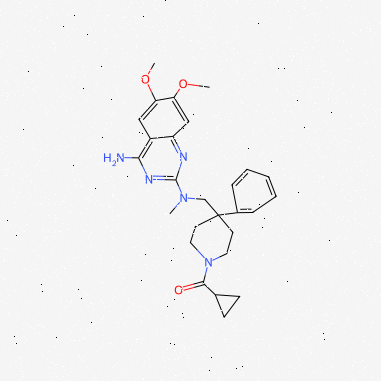 COc1cc2nc(N(C)CC3(c4ccccc4)CCN(C(=O)C4CC4)CC3)nc(N)c2cc1OC